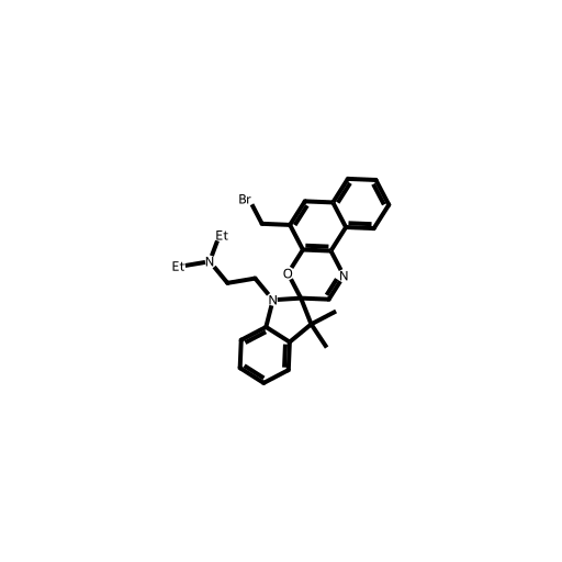 CCN(CC)CCN1c2ccccc2C(C)(C)C12C=Nc1c(c(CBr)cc3ccccc13)O2